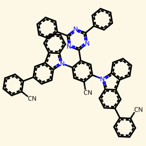 N#Cc1ccccc1-c1ccc2c(c1)c1ccccc1n2-c1cc(-c2nc(-c3ccccc3)nc(-c3ccccc3)n2)c(-n2c3ccccc3c3cc(-c4ccccc4C#N)ccc32)cc1C#N